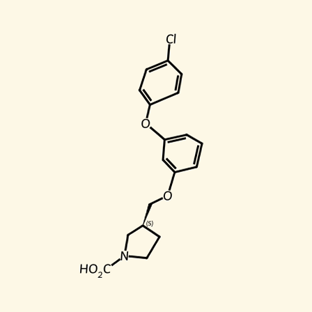 O=C(O)N1CC[C@H](COc2cccc(Oc3ccc(Cl)cc3)c2)C1